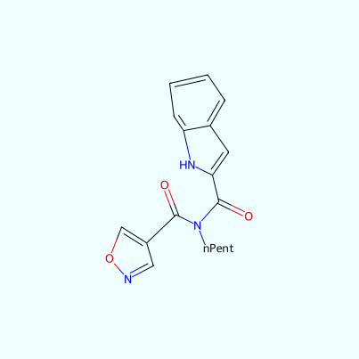 CCCCCN(C(=O)c1cnoc1)C(=O)c1cc2ccccc2[nH]1